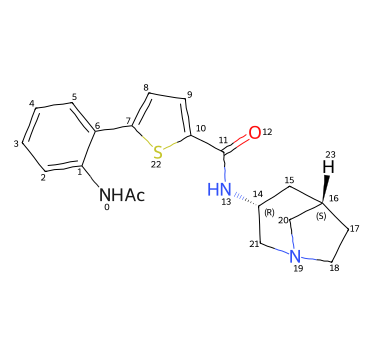 CC(=O)Nc1ccccc1-c1ccc(C(=O)N[C@@H]2C[C@@H]3CCN(C3)C2)s1